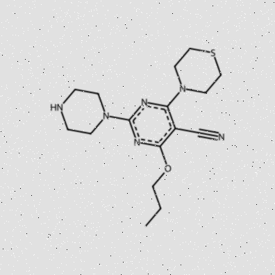 CCCOc1nc(N2CCNCC2)nc(N2CCSCC2)c1C#N